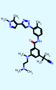 Cc1ccc(NC(=O)c2cc(N(C)CCN(C)C)cc(C(C)(C)C#N)c2)cc1-n1cc(-c2cnn(C)c2C)nn1